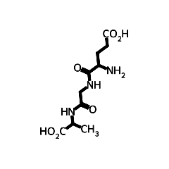 CC(NC(=O)CNC(=O)C(N)CCC(=O)O)C(=O)O